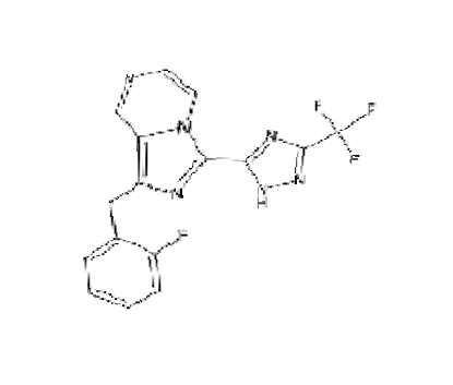 Fc1ccccc1Cc1nc(-c2nc(C(F)(F)F)n[nH]2)n2ccncc12